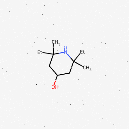 CCC1(C)CC(O)CC(C)(CC)N1